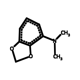 CN(C)c1cccc2c1OCO2